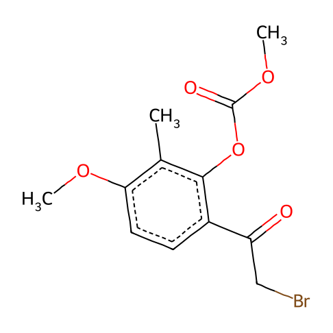 COC(=O)Oc1c(C(=O)CBr)ccc(OC)c1C